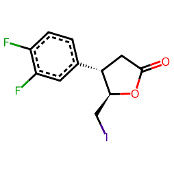 O=C1C[C@@H](c2ccc(F)c(F)c2)[C@H](CI)O1